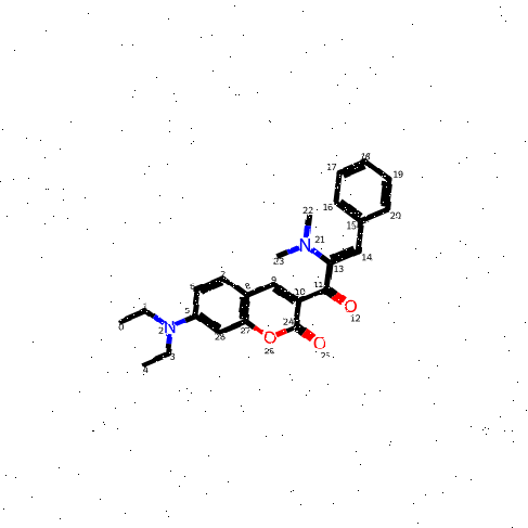 CCN(CC)c1ccc2cc(C(=O)C(=Cc3ccccc3)N(C)C)c(=O)oc2c1